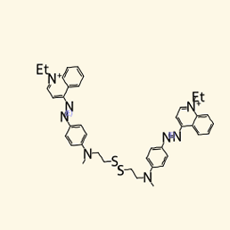 CC[n+]1ccc(/N=N/c2ccc(N(C)CCSSCCN(C)c3ccc(/N=N/c4cc[n+](CC)c5ccccc45)cc3)cc2)c2ccccc21